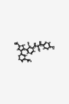 CC(C)(C)c1nc(-c2ccnc(N)n2)c(-c2cccc(NC(=O)Nc3ccc(Cl)cc3)c2F)s1